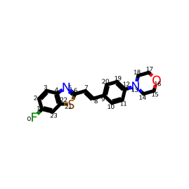 Fc1ccc2nc(C=Cc3ccc(N4CCOCC4)cc3)sc2c1